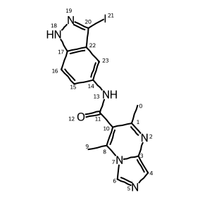 Cc1nc2cncn2c(C)c1C(=O)Nc1ccc2[nH]nc(I)c2c1